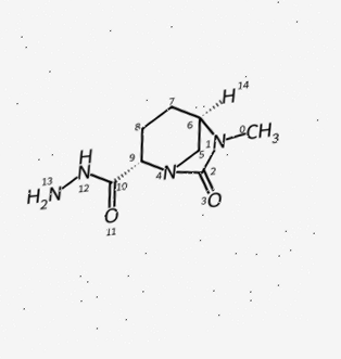 CN1C(=O)N2C[C@H]1CC[C@H]2C(=O)NN